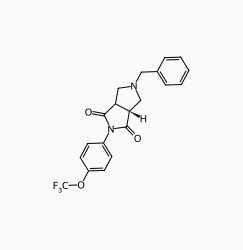 O=C1C2CN(Cc3ccccc3)C[C@@H]2C(=O)N1c1ccc(OC(F)(F)F)cc1